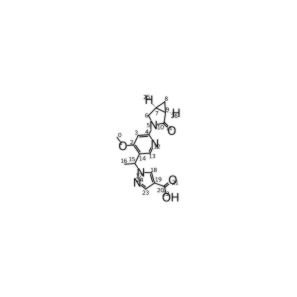 COc1cc(N2C[C@H]3C[C@H]3C2=O)ncc1C(C)n1cc(C(=O)O)cn1